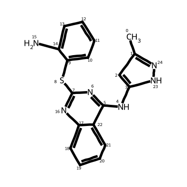 Cc1cc(Nc2nc(Sc3ccccc3N)nc3ccccc23)[nH]n1